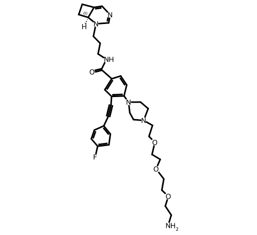 NCCOCCOCCOCCN1CCN(c2ccc(C(=O)NCCCN3C=NC=C4CC[C@@H]43)cc2C#Cc2ccc(F)cc2)CC1